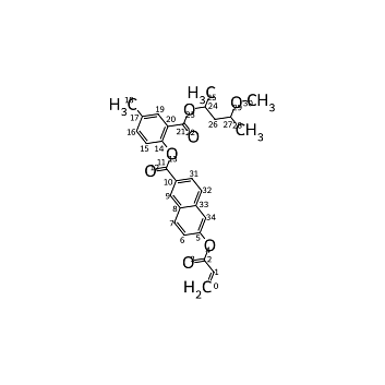 C=CC(=O)Oc1ccc2cc(C(=O)Oc3ccc(C)cc3C(=O)OC(C)CC(C)OC)ccc2c1